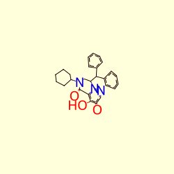 O=C1c2c(O)c(=O)cnn2C(C(c2ccccc2)c2ccccc2)CN1C1CCCCC1